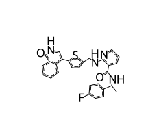 CC(NC(=O)c1cccnc1NCc1ccc(-c2c[nH]c(=O)c3ccccc23)s1)c1ccc(F)cc1